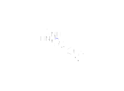 CN(C)C(=O)c1ccc(-c2ccc(/C=C3/NC(=S)NC3=O)s2)cc1